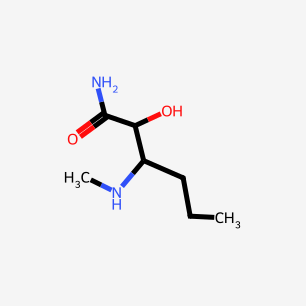 CCCC(NC)C(O)C(N)=O